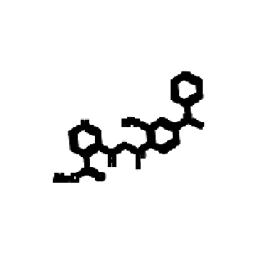 CCCc1cc(N(C)c2ccccc2)ccc1[C@H](C)CNc1cnccc1C(=O)OC